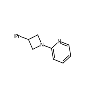 CC(C)C1CN(c2ccccn2)C1